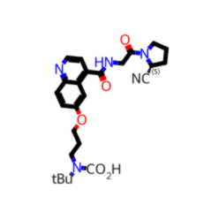 CC(C)(C)N(CCCOc1ccc2nccc(C(=O)NCC(=O)N3CCC[C@H]3C#N)c2c1)C(=O)O